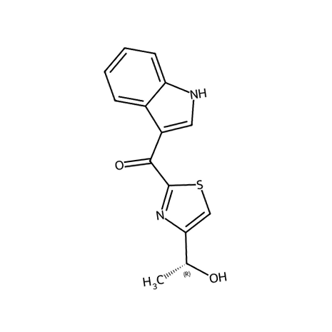 C[C@@H](O)c1csc(C(=O)c2c[nH]c3ccccc23)n1